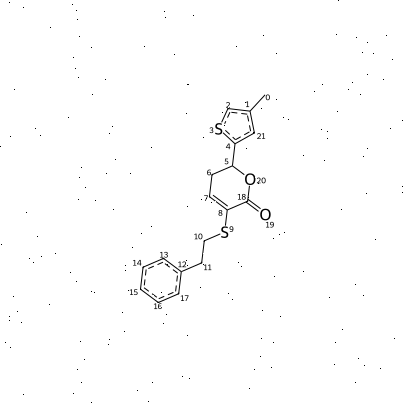 Cc1csc(C2CC=C(SCCc3ccccc3)C(=O)O2)c1